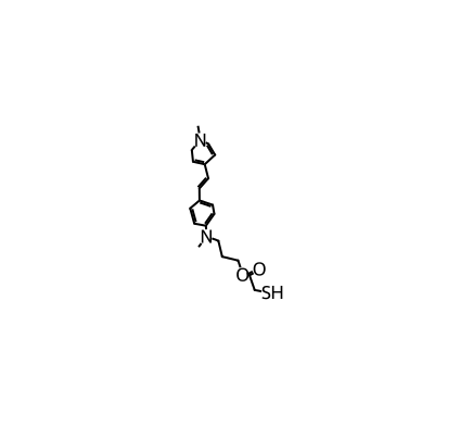 CN1C=CC(/C=C/c2ccc(N(C)CCCOC(=O)CS)cc2)=CC1